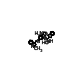 Cc1cc(COc2ccc([C@@]3(N)CCN([C@@H]4c5ccccc5CC4C(=O)NO)C3=O)cc2)c2ccccc2n1